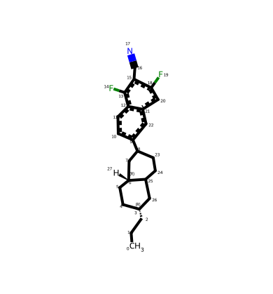 CCC[C@@H]1CC[C@@H]2CC(c3ccc4c(F)c(C#N)c(F)cc4c3)CCC2C1